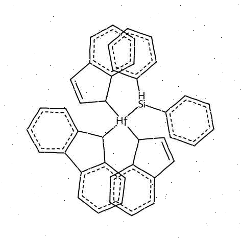 C1=C[CH]([Hf]([CH]2C=Cc3ccccc32)([CH]2c3ccccc3-c3ccccc32)[SiH](c2ccccc2)c2ccccc2)c2ccccc21